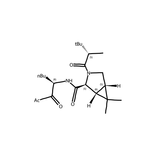 CCCC[C@@H](NC(=O)[C@@H]1[C@@H]2[C@H](CN1C(=O)[C@@H](C)C(C)(C)C)C2(C)C)C(=O)C(C)=O